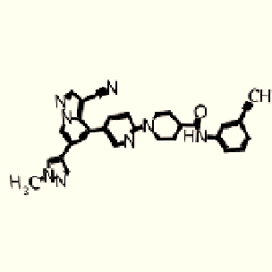 C#Cc1cccc(NC(=O)C2CCN(c3ccc(-c4cc(-c5cnn(C)c5)cn5ncc(C#N)c45)cn3)CC2)c1